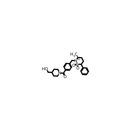 C[C@H]1CCC(c2ccccc2)S(=O)(=O)N1Cc1ccc(C(=O)N2CCC(CO)CC2)cc1